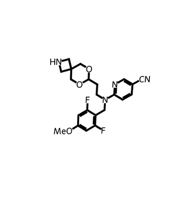 COc1cc(F)c(CN(CCC2OCC3(CNC3)CO2)c2ccc(C#N)cn2)c(F)c1